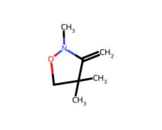 C=C1N(C)OCC1(C)C